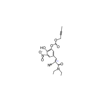 CC#CCOC(=O)Oc1cc(/C=C(\C#N)C(=O)N(CC)CC)cc([N+](=O)[O-])c1O